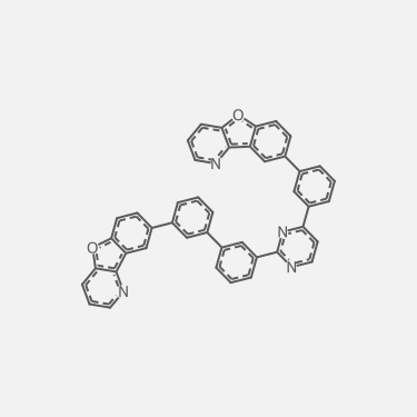 c1cc(-c2cccc(-c3nccc(-c4cccc(-c5ccc6oc7cccnc7c6c5)c4)n3)c2)cc(-c2ccc3oc4cccnc4c3c2)c1